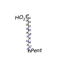 CCCCC/C=C/C/C=C/C/C=C/C/C=C/CCCCCC(=O)O